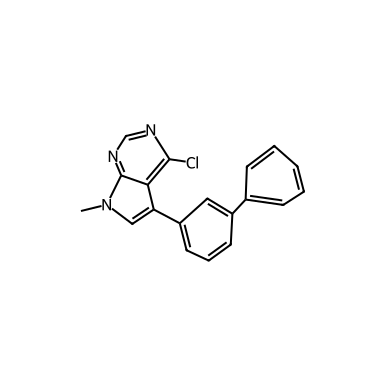 Cn1cc(-c2cccc(-c3ccccc3)c2)c2c(Cl)ncnc21